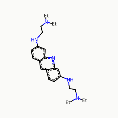 CCN(CC)CCNc1ccc2cc3ccc(NCCN(CC)CC)cc3nc2c1